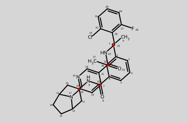 COc1cccc(C(=O)NC2CC3CCC(C2)N3c2ccc(C(=O)NCc3c(F)cccc3Cl)cn2)c1C